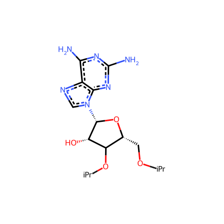 CC(C)OC[C@H]1O[C@@H](n2cnc3c(N)nc(N)nc32)[C@@H](O)C1OC(C)C